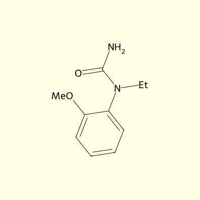 CCN(C(N)=O)c1ccccc1OC